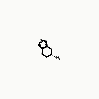 N[C@@H]1CCc2cscc2C1